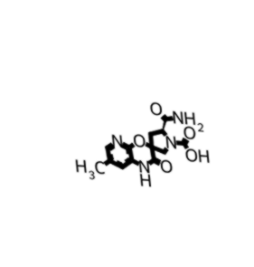 Cc1cnc2c(c1)NC(=O)C1(C[C@@H](C(N)=O)N(C(=O)O)C1)O2